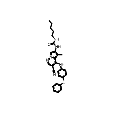 CCCCCNC(=O)Nc1cn2ncc(C#N)c(Nc3ccc(Oc4ccccc4)cc3)c2c1C